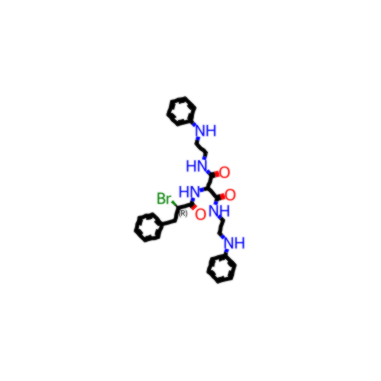 O=C(NCCNc1ccccc1)C(NC(=O)[C@H](Br)Cc1ccccc1)C(=O)NCCNc1ccccc1